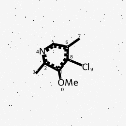 COc1c(C)ncc(C)c1Cl